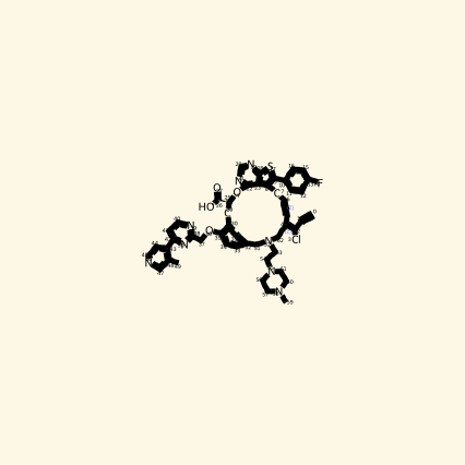 C#C/C(Cl)=C1\C=C/Cc2c(-c3ccc(F)cc3)sc3ncnc(c23)O[C@@H](C(=O)O)Cc2cc(ccc2OCc2nccc(-c3ccncc3C)n2)CN(CCN2CCN(C)CC2)C1